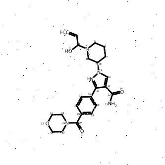 C=CC(O)N1CCC[C@@H](n2cc(C(N)=O)c(-c3ccc(C(=O)N4CCOCC4)cc3)n2)C1